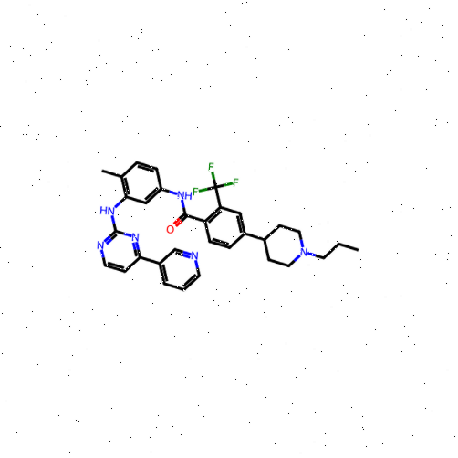 CCCN1CCC(c2ccc(C(=O)Nc3ccc(C)c(Nc4nccc(-c5cccnc5)n4)c3)c(C(F)(F)F)c2)CC1